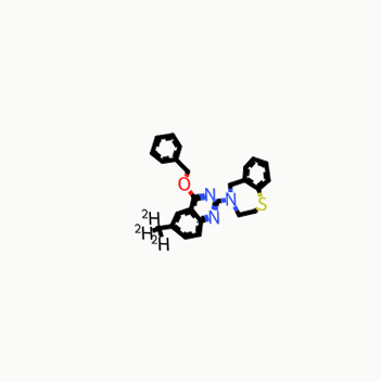 [2H]C([2H])([2H])c1ccc2nc(N3CCSc4ccccc4C3)nc(OCc3ccccc3)c2c1